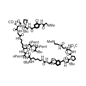 CCCCCC(NC(=O)C(CCCCNC(=O)NCC(=O)Nc1ccc(C(=O)N[C@H](C(=O)N2CCC[C@H]2C(=O)N[C@@H](CC(=O)O)C(=O)NCC(=O)NCCNC)C(C)(C)C)cc1Cl)NC(C)(C)C)C(=O)NC(CCCCNC(=O)CNC(=O)[C@H](CC(=O)O)NC(=O)[C@@H]1CCCN1C(=O)[C@@H](NC(=O)c1ccc(NC(=O)CNC)c(Cl)c1)C(C)(C)C)C(=O)NC(CCCCC)C(=O)NC(CCCCC)C(=O)C(C)(C)C